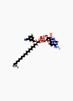 CCCCCCCCCCCCCCCCCCC[C@H](COP(=O)(O)OC[C@H]1O[C@@](C#N)(c2ccc3c(N)ncnn23)[C@H](O)[C@@H]1O)OCc1cc(F)cc(C#N)c1